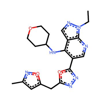 CCn1ncc2c(NC3CCOCC3)c(-c3nnc(Cc4cc(C)no4)o3)cnc21